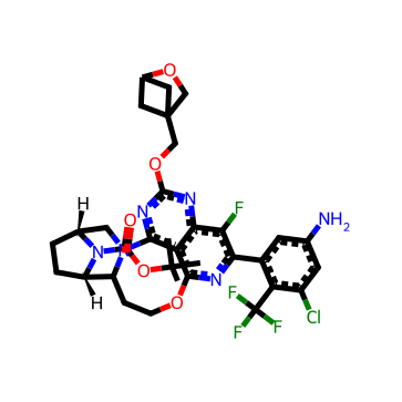 CC(C)(C)OC(=O)N1[C@@H]2CC[C@H]1C1CCOc3nc(-c4cc(N)cc(Cl)c4C(F)(F)F)c(F)c4nc(OCC56COC(C5)C6)nc(c34)N1C2